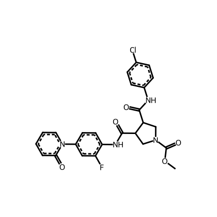 COC(=O)N1CC(C(=O)Nc2ccc(Cl)cc2)C(C(=O)Nc2ccc(-n3ccccc3=O)cc2F)C1